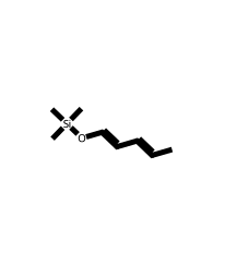 CC=CC=CO[Si](C)(C)C